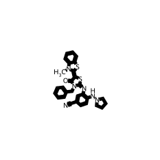 CN1C(=C2SC(=Nc3cc(C#N)ccc3NN3CCCC3)N(Cc3ccccc3)C2=O)Sc2ccccc21